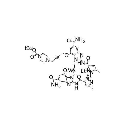 CCn1nc(C)cc1C(=O)Nc1nc2cc(C(N)=O)cc(OC)c2n1C/C=C/Cn1c(NC(=O)c2cc(C)nn2CC)nc2cc(C(N)=O)cc(OCC#CCN3CCN(C(=O)OC(C)(C)C)CC3)c21